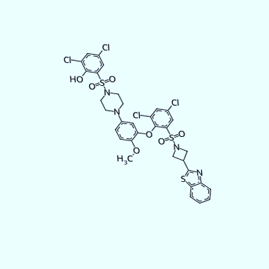 COc1ccc(N2CCN(S(=O)(=O)c3cc(Cl)cc(Cl)c3O)CC2)cc1Oc1c(Cl)cc(Cl)cc1S(=O)(=O)N1CC(c2nc3ccccc3s2)C1